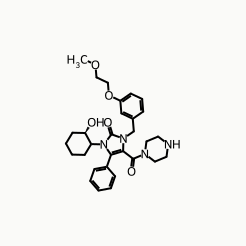 COCCOc1cccc(Cn2c(C(=O)N3CCNCC3)c(-c3ccccc3)n(C3CCCC[C@H]3O)c2=O)c1